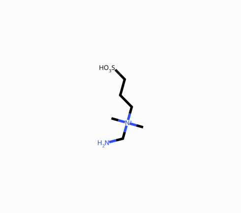 C[N+](C)(CN)CCCS(=O)(=O)O